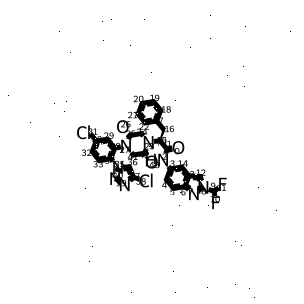 O=C(Nc1ccc2nn(C(F)F)cc2c1)[C@H](Cc1ccccc1)N1CC(=O)N(c2cc(Cl)ccc2-n2cc(Cl)nn2)CC1=O